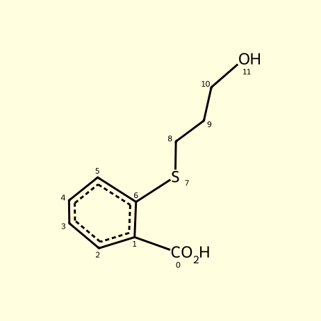 O=C(O)c1ccccc1SCCCO